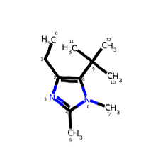 CCc1nc(C)n(C)c1C(C)(C)C